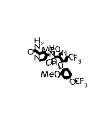 COc1cc(OC(F)(F)F)ccc1Oc1cc(C(F)(F)F)nc(OC)c1C(=O)Nc1cc(C(N)=O)ncc1C